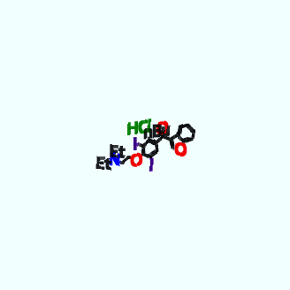 CCCCc1c(C(=O)c2coc3ccccc23)cc(I)c(OCCN(CC)CC)c1I.Cl